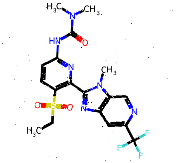 CCS(=O)(=O)c1ccc(NC(=O)N(C)C)nc1-c1nc2cc(C(F)(F)F)ncc2n1C